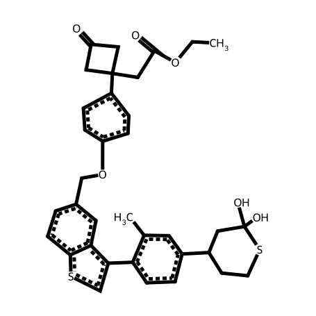 CCOC(=O)CC1(c2ccc(OCc3ccc4scc(-c5ccc(C6CCSC(O)(O)C6)cc5C)c4c3)cc2)CC(=O)C1